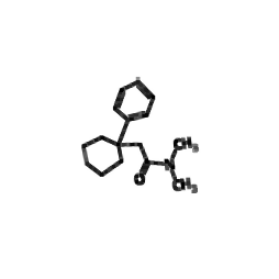 CN(C)C(=O)CC1(c2cc[c]cc2)CCCCC1